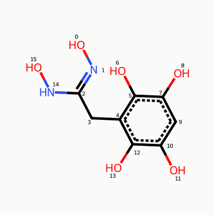 ON=C(Cc1c(O)c(O)cc(O)c1O)NO